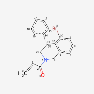 C=CC(=O)N1Cc2cccc(Br)c2[C@@H](c2ccccc2)C1